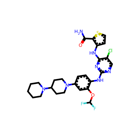 NC(=O)c1sccc1Nc1nc(Nc2ccc(N3CCC(N4CCCCC4)CC3)cc2OC(F)F)ncc1Cl